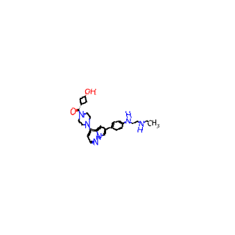 CCNCCNc1ccc(-c2cc3c(N4CCN(C(=O)[C@H]5C[C@@H](O)C5)CC4)ccnn3c2)cc1